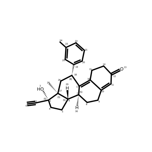 C#C[C@]1(O)CC[C@H]2[C@@H]3CCC4=CC(=O)CCC4=C3[C@@H](c3cccc(C)c3)C[C@@]21C